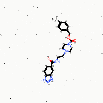 O=C(NCCN1CCN(C(=O)OCc2ccc(C(F)(F)F)cc2)CC1)C1=CC2N=NNC2C=C1